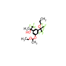 C=CCOC(c1cc(OC(C)OCC)cc(C(C)(O)C(F)(F)F)c1)(C(F)(F)F)C(F)(F)F